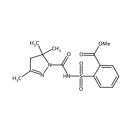 COC(=O)c1ccccc1S(=O)(=O)NC(=O)N1N=C(C)CC1(C)C